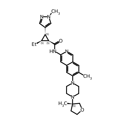 CC[C@@H]1[C@H](C(=O)Nc2cc3cc(N4CCN([C@@]5(C)CCOC5)CC4)c(C)cc3cn2)[C@H]1c1cnn(C)c1